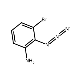 [N-]=[N+]=Nc1c(N)cccc1Br